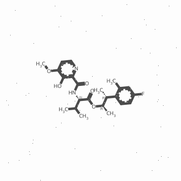 COc1ccnc(C(=O)N[C@H](C(=O)O[C@H](C)[C@H](C)c2ccc(F)cc2C)C(C)C)c1O